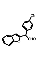 N#Cc1ccc(C(C=O)c2cc3ccccc3o2)cc1